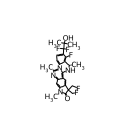 Cc1nc(N[C@H](C)c2cccc(C(F)(F)C(C)(C)O)c2F)c2cc3c(cc2n1)N(C)C(=O)C3(CF)CF